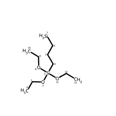 CCO[Si](CCC[SiH3])(OCC)OCC